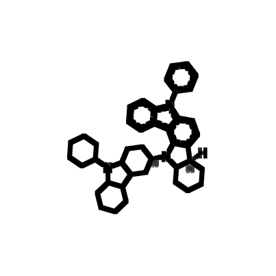 c1ccc(-n2c3ccccc3c3c4c(ccc32)[C@H]2CCCCC2N4[C@@H]2CCC3C(C2)C2CCCCC2N3C2CCCCC2)cc1